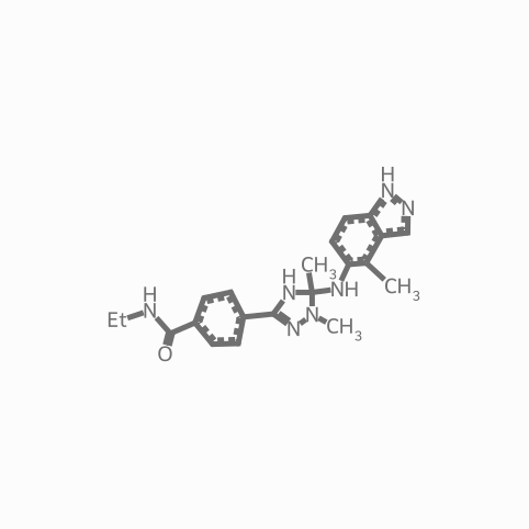 CCNC(=O)c1ccc(C2=NN(C)C(C)(Nc3ccc4[nH]ncc4c3C)N2)cc1